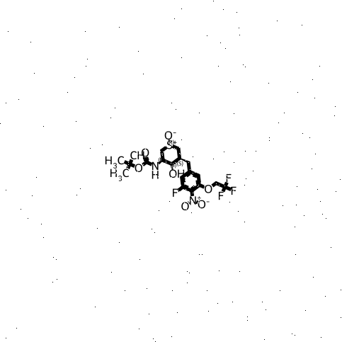 CC(C)(C)OC(=O)N[C@H]1C[S@@+]([O-])C[C@@H](Cc2cc(F)c([N+](=O)[O-])c(OCC(F)(F)F)c2)[C@@H]1O